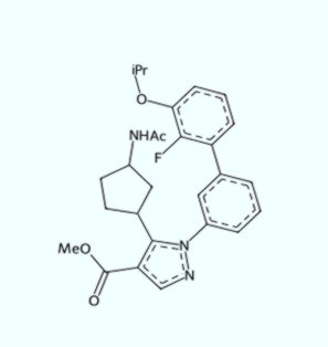 COC(=O)c1cnn(-c2cccc(-c3cccc(OC(C)C)c3F)c2)c1C1CCC(NC(C)=O)C1